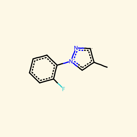 Cc1[c]nn(-c2ccccc2F)c1